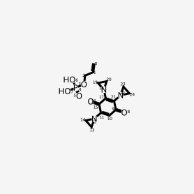 C=CCOP(=O)(O)O.O=C1C=C(N2CC2)C(=O)C(N2CC2)=C1N1CC1